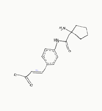 CCC(=O)/C=C/c1ccc(NC(=O)C2(N)CCCC2)cc1